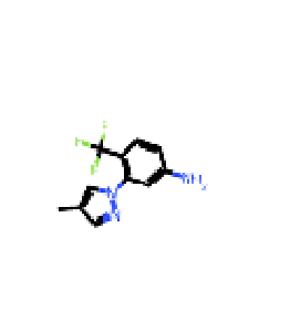 Cc1cnn(-c2cc(N)ccc2C(F)(F)F)c1